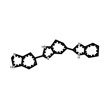 c1ccc2[nH]c(-c3ccc4[nH]c(-c5ccc6[nH]cnc6c5)nc4c3)nc2c1